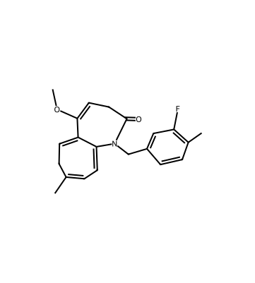 COC1=CCC(=O)N(Cc2ccc(C)c(F)c2)C2=CC=C(C)CC=C12